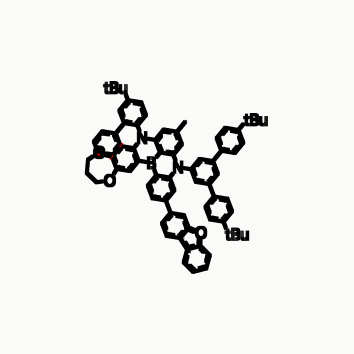 Cc1cc2c3c(c1)N(c1ccc(C(C)(C)C)cc1-c1ccccc1)c1cc4c(cc1B3c1ccc(-c3ccc5c(c3)oc3ccccc35)cc1N2c1cc(-c2ccc(C(C)(C)C)cc2)cc(-c2ccc(C(C)(C)C)cc2)c1)OCCCO4